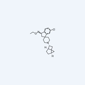 CCO/N=C1\CC2(CCN([C@@H]3CC45C[C@H]4CC[C@@H]35)CC2)c2cc(Cl)ccc21